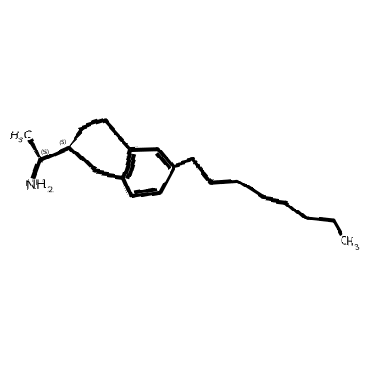 CCCCCCCCc1ccc2c(c1)CC[C@H]([C@H](C)N)C2